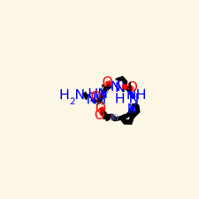 C[C@@H]1NC(=O)[C@H](CNCCN)OC(=O)C(C)(C)/C=C/c2ccc3ccc(nc3c2)N(C)NC(=O)[C@@H]2CCCN(N2)C1=O